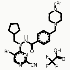 CCCN1CCN(Cc2ccc(C(=O)NN(CC3CCCC3)c3nc(C#N)ncc3Br)cc2)CC1.O=C(O)C(F)(F)F